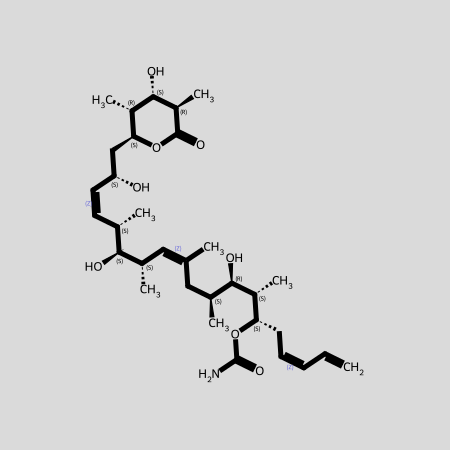 C=C/C=C\C[C@H](OC(N)=O)[C@@H](C)[C@H](O)[C@@H](C)C/C(C)=C\[C@H](C)[C@@H](O)[C@@H](C)/C=C\[C@@H](O)C[C@@H]1OC(=O)[C@H](C)[C@@H](O)[C@H]1C